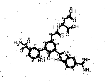 N=C(N)c1ccc2[nH]c(-c3cc(CC(=O)NC(CC(=O)O)C(=O)O)cc(-c4cc(S(N)(=O)=O)ccc4O)c3O)nc2c1